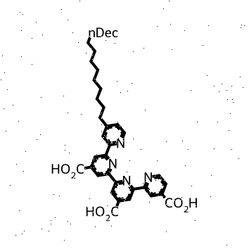 CCCCCCCCCCCCCCCCCCCc1ccnc(-c2cc(C(=O)O)cc(-c3cc(C(=O)O)cc(-c4cc(C(=O)O)ccn4)n3)n2)c1